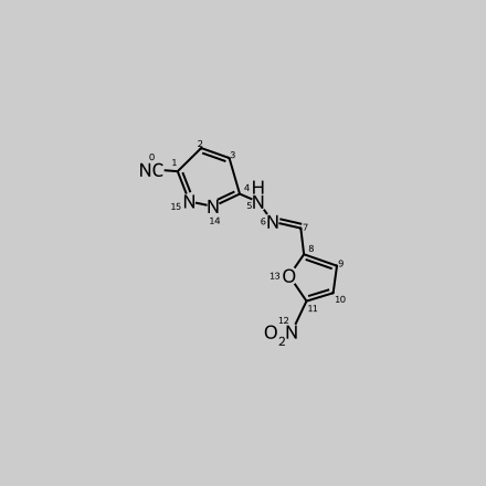 N#Cc1ccc(NN=Cc2ccc([N+](=O)[O-])o2)nn1